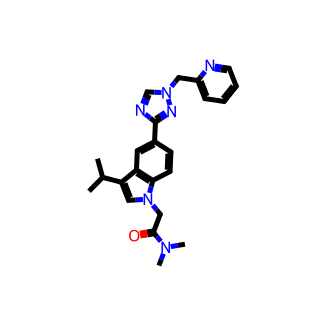 CC(C)c1cn(CC(=O)N(C)C)c2ccc(-c3ncn(Cc4ccccn4)n3)cc12